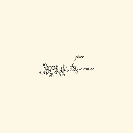 CCCCCCCCCCCCCCCC(=O)OCC(CSC[C@H](N)C(=O)N[C@@H](CO)C(=O)Nc1ccc(Cn2c(O)nc3c(N)nc(NCCCC)nc32)cc1)OC(=O)CCCCCCCCCCCCCCC